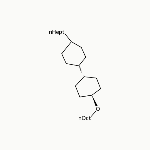 CCCCCCCCO[C@H]1CC[C@H](C2CCC(CCCCCCC)CC2)CC1